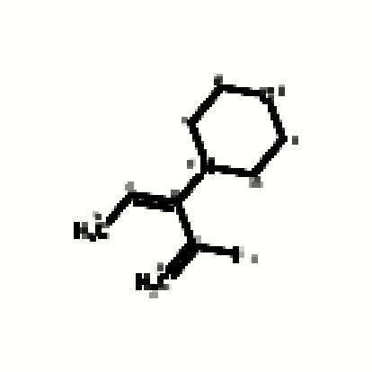 C=C(F)/C(=C\C)N1CCOCC1